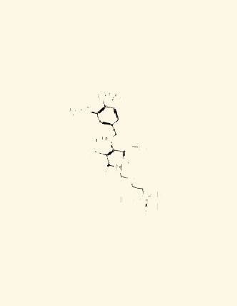 CCC(C)Oc1nn(COCC[Si](C)(C)C)c(=O)c(Cl)c1NCc1ccc(OC)c(OC)c1